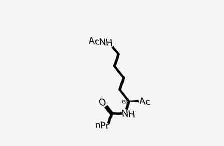 CCCC(=O)N[C@@H](CCCCNC(C)=O)C(C)=O